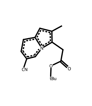 Cc1cc2ccc(C#N)cn2c1CC(=O)OC(C)(C)C